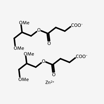 COCC(COC(=O)CCC(=O)[O-])OC.COCC(COC(=O)CCC(=O)[O-])OC.[Zn+2]